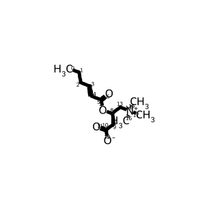 CCCC=CC(=O)OC(CC(=O)[O-])C[N+](C)(C)C